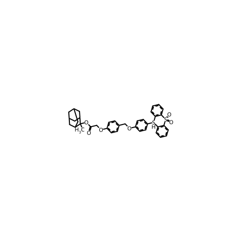 CC1(OC(=O)COc2ccc(COc3ccc([SH]4c5ccccc5S(=O)(=O)c5ccccc54)cc3)cc2)C2CC3CC(C2)CC1C3